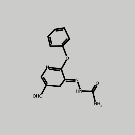 NC(=O)NN=C1CC(C=O)=CN=C1Oc1ccccc1